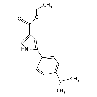 CCOC(=O)c1c[nH]c(-c2ccc(N(C)C)cc2)c1